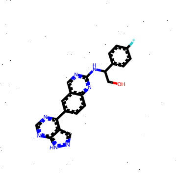 OCC(Nc1ncc2cc(-c3ncnc4[nH]ncc34)ccc2n1)c1ccc(F)cc1